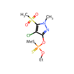 CCOP(=S)(Oc1nn(C)c(S(C)(=O)=O)c1Cl)SC